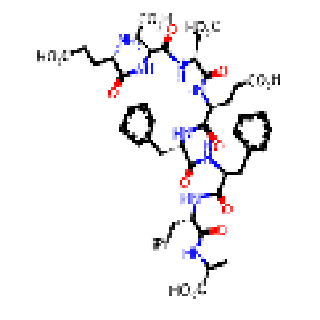 CC(C)C[C@H](NC(=O)[C@H](Cc1ccccc1)NC(=O)[C@H](Cc1ccccc1)NC(=O)[C@H](CCC(=O)O)NC(=O)[C@H](CC(=O)O)NC(=O)[C@H](CC(=O)O)NC(=O)[C@@H](N)CCC(=O)O)C(=O)N[C@@H](C)C(=O)O